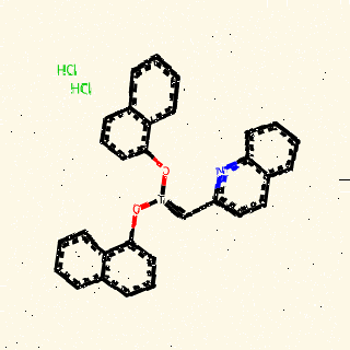 Cl.Cl.[CH](c1ccc2ccccc2n1)=[Ti]([O]c1cccc2ccccc12)[O]c1cccc2ccccc12